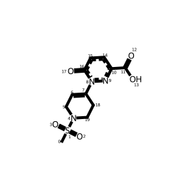 CS(=O)(=O)N1CC=C(n2nc(C(=O)O)ccc2=O)CC1